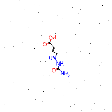 NC(=O)NNCC=CC(=O)O